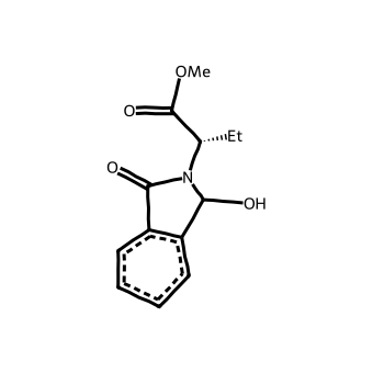 CC[C@@H](C(=O)OC)N1C(=O)c2ccccc2C1O